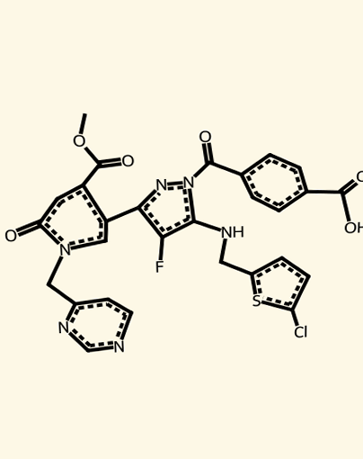 COC(=O)c1cc(=O)n(Cc2ccncn2)cc1-c1nn(C(=O)c2ccc(C(=O)O)cc2)c(NCc2ccc(Cl)s2)c1F